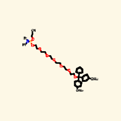 COc1ccc(C(OCCOCCOCCOCCOCCOCCOP(OCCC#N)N(C(C)C)C(C)C)(c2ccccc2)c2ccc(OC)cc2)cc1